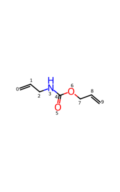 C=CCNC(=O)OCC=C